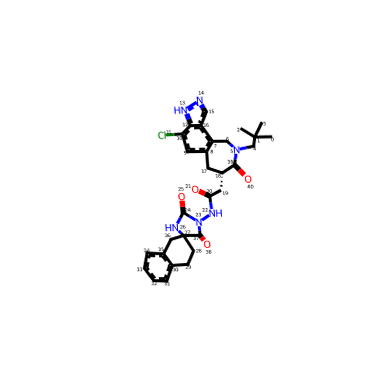 CC(C)(C)CN1Cc2c(cc(Cl)c3[nH]ncc23)C[C@@H](CC(=O)NN2C(=O)NC3(CCc4ccccc4C3)C2=O)C1=O